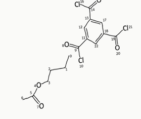 CCCCOC(C)=O.O=C(Cl)c1cc(C(=O)Cl)cc(C(=O)Cl)c1